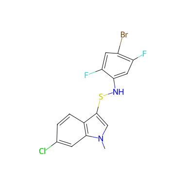 Cn1cc(SNc2cc(F)c(Br)cc2F)c2ccc(Cl)cc21